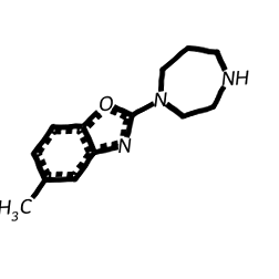 Cc1ccc2oc(N3CCCNCC3)nc2c1